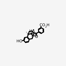 CC1CC[C@]2(C)c3cc(O)ccc3C[C@@H]1[C@H]2N(C)C(=O)c1cccc(C(=O)O)c1